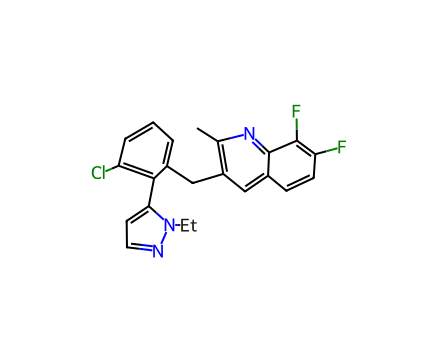 CCn1nccc1-c1c(Cl)cccc1Cc1cc2ccc(F)c(F)c2nc1C